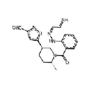 C[C@@H]1CC[C@@H](c2cc(C=O)no2)CN1C(=O)c1ccccc1N/N=C\C=N